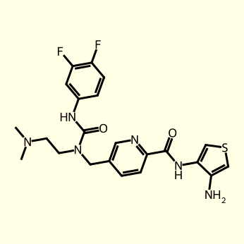 CN(C)CCN(Cc1ccc(C(=O)Nc2cscc2N)nc1)C(=O)Nc1ccc(F)c(F)c1